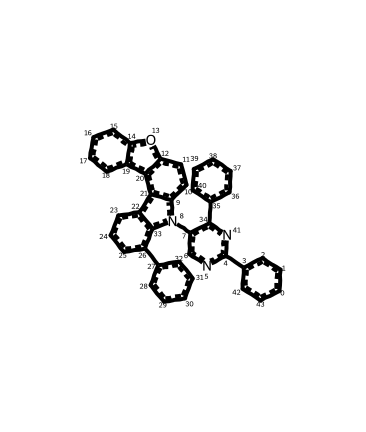 c1ccc(-c2ncc(-n3c4ccc5oc6ccccc6c5c4c4cccc(-c5ccccc5)c43)c(-c3ccccc3)n2)cc1